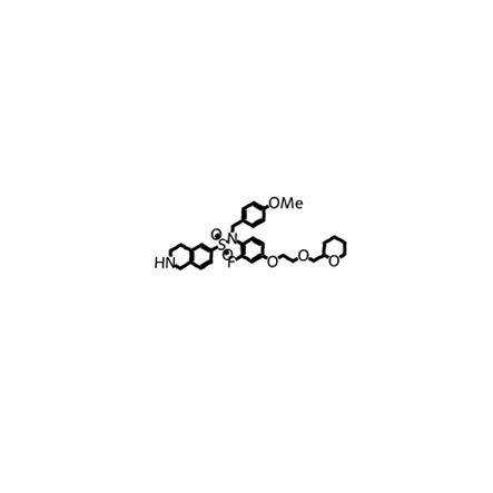 COc1ccc(CN(c2ccc(OCCOCC3CCCCO3)cc2F)S(=O)(=O)c2ccc3c(c2)CCNC3)cc1